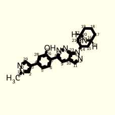 Cn1cc(-c2ccc(-c3cc4cnn(C5C[C@H]6CCC[C@@H](C5)N6)c4nn3)c(O)c2)cn1